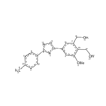 COc1cc(-c2nc(-c3ccc(C)cc3)no2)cc(CO)c1CO